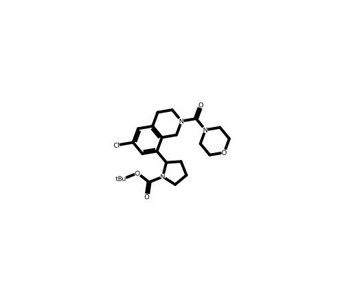 CC(C)(C)OC(=O)N1CCCC1c1cc(Cl)cc2c1CN(C(=O)N1CCOCC1)CC2